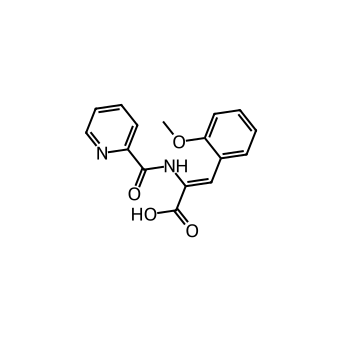 COc1ccccc1C=C(NC(=O)c1ccccn1)C(=O)O